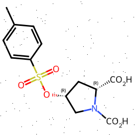 Cc1ccc(S(=O)(=O)O[C@@H]2C[C@H](C(=O)O)N(C(=O)O)C2)cc1